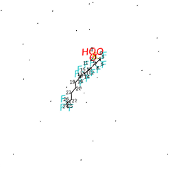 O=S(=O)(O)C(F)(F)C(F)(F)C(F)(F)C(F)(F)C(F)(F)CCCCC(F)(F)F